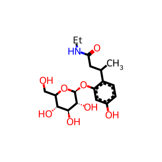 CCNC(=O)CC(C)c1ccc(O)cc1O[C@@H]1OC(CO)[C@@H](O)[C@H](O)[C@H]1O